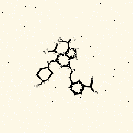 CC(=O)c1cccc(CNc2nc(NC3CCC(N)CC3)n(C(C)C)c3c(C(C)C)nnc2-3)c1